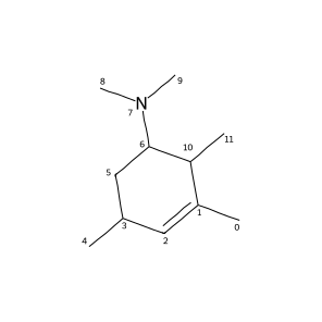 CC1=CC(C)CC(N(C)C)C1C